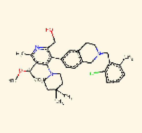 Cc1cccc(Cl)c1CN1CCc2cc(-c3c(CO)nc(C)c([C@H](OC(C)(C)C)C(=O)O)c3N3CCC(C)(C)CC3)ccc2C1